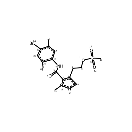 Cc1cc(NC(=O)c2c(CCOS(C)(=O)=O)cnn2C)c(F)cc1Br